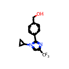 OCc1ccc(-c2nc(C(F)(F)F)cn2C2CC2)cc1